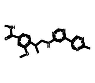 CNC(=O)c1ccc(C(C)CNc2cc(-c3cnc(C)nc3)ncn2)c(OC)c1